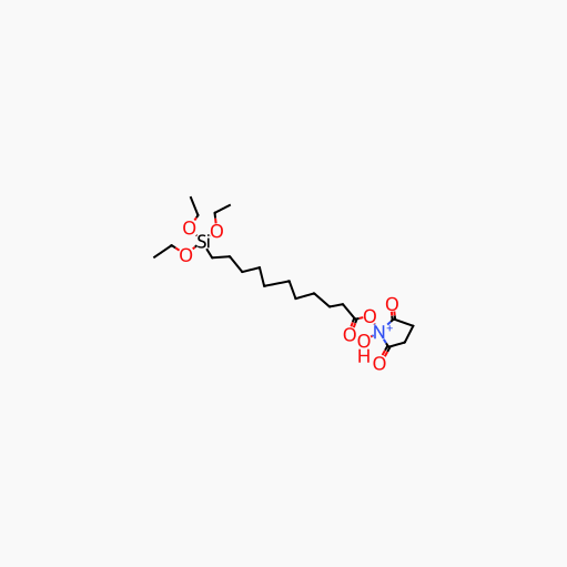 CCO[Si](CCCCCCCCCCC(=O)O[N+]1(O)C(=O)CCC1=O)(OCC)OCC